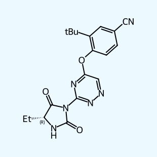 CC[C@H]1NC(=O)N(c2nncc(Oc3ccc(C#N)cc3C(C)(C)C)n2)C1=O